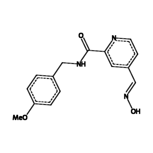 COc1ccc(CNC(=O)c2cc(C=NO)ccn2)cc1